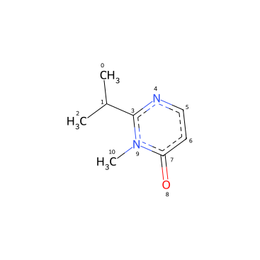 CC(C)c1nccc(=O)n1C